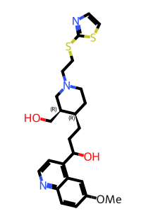 COc1ccc2nccc(C(O)CC[C@@H]3CCN(CCSc4nccs4)C[C@@H]3CO)c2c1